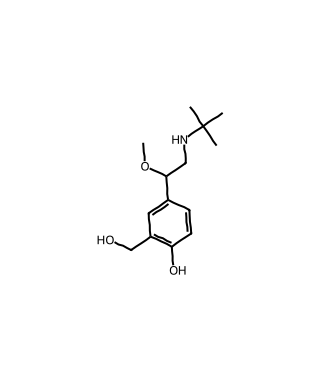 COC(CNC(C)(C)C)c1ccc(O)c(CO)c1